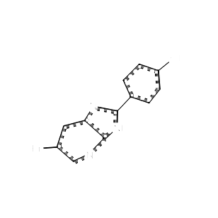 Oc1ccc(-c2nc3cc(Br)cnc3[nH]2)cc1